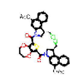 CC(=O)Oc1cc2c(c3ccccc13)[C@H](CCl)CN2C(=O)c1sc(C(=O)N2C[C@@H](CCl)c3c2cc(OC(C)=O)c2ccccc32)c2c1OCCCO2